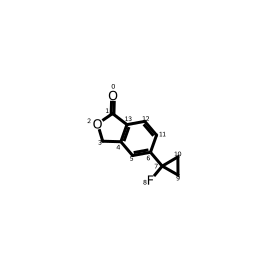 O=C1OCc2cc(C3(F)CC3)ccc21